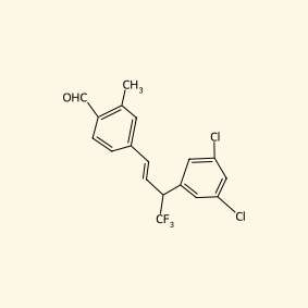 Cc1cc(/C=C/C(c2cc(Cl)cc(Cl)c2)C(F)(F)F)ccc1C=O